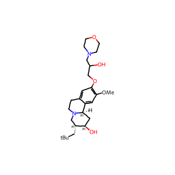 COc1cc2c(cc1OCC(O)CN1CCOCC1)CCN1C[C@@H](CC(C)(C)C)[C@H](O)C[C@H]21